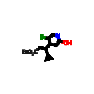 CCOC(=O)CC(c1cc(O)ncc1F)C1CC1